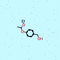 CCOC(C)Oc1ccc(CO)cc1